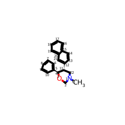 CN1CO[C@@H](c2ccccc2)[C@H](c2ccc3ccccc3c2)C1